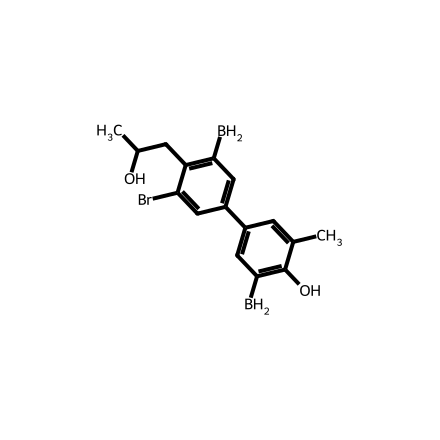 Bc1cc(-c2cc(B)c(CC(C)O)c(Br)c2)cc(C)c1O